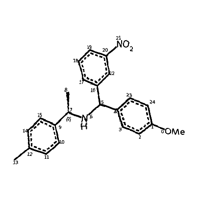 COc1ccc(C(N[C@H](C)c2ccc(C)cc2)c2cccc([N+](=O)[O-])c2)cc1